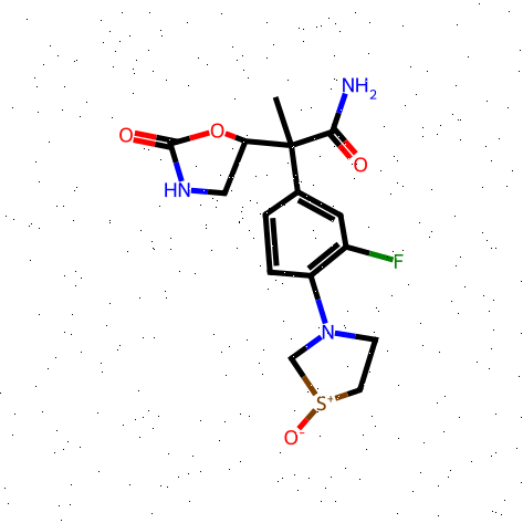 CC(C(N)=O)(c1ccc(N2CC[S+]([O-])C2)c(F)c1)C1CNC(=O)O1